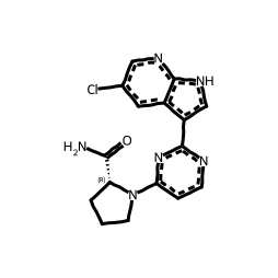 NC(=O)[C@H]1CCCN1c1ccnc(-c2c[nH]c3ncc(Cl)cc23)n1